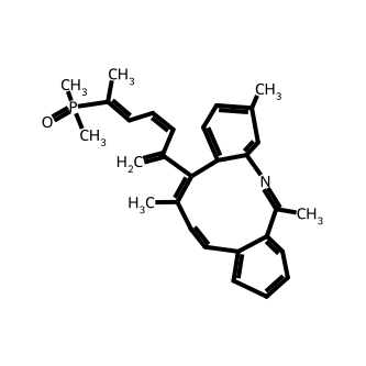 C=C(/C=C\C=C(/C)P(C)(C)=O)c1c(C)ccc2ccccc2c(C)nc2cc(C)ccc12